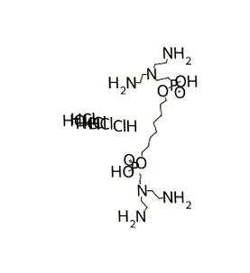 Cl.Cl.Cl.Cl.Cl.Cl.NCCN(CCN)CCP(=O)(O)OCCCCCCCCOP(=O)(O)CCN(CCN)CCN